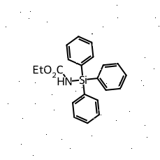 CCOC(=O)N[Si](c1ccccc1)(c1ccccc1)c1ccccc1